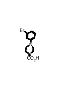 O=C(O)N1CCN(c2cccc(Br)c2)CC1